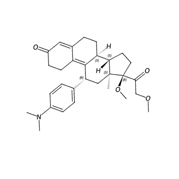 COCC(=O)[C@@]1(OC)CC[C@H]2[C@@H]3CCC4=CC(=O)CCC4=C3[C@@H](c3ccc(N(C)C)cc3)C[C@@]21C